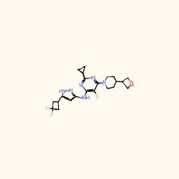 Fc1c(Nc2cc(C3CC(F)(F)C3)[nH]n2)nc(C2CC2)nc1N1CCC(C2COC2)CC1